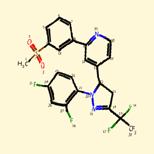 CS(=O)(=O)c1cccc(-c2cc(C3CC(C(F)(F)C(F)(F)F)=NN3c3ccc(F)cc3F)ccn2)c1